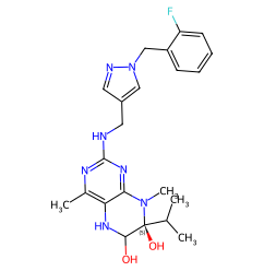 Cc1nc(NCc2cnn(Cc3ccccc3F)c2)nc2c1NC(O)[C@@](O)(C(C)C)N2C